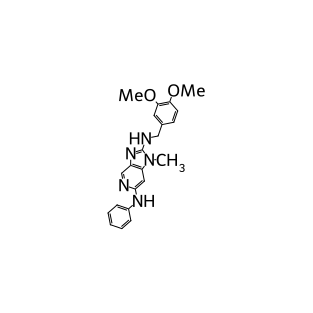 COc1ccc(CNc2nc3cnc(Nc4ccccc4)cc3n2C)cc1OC